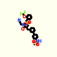 CS(=O)(=O)Nc1ccc(-c2cccc(CC(CS(=O)(=O)Cc3ccccc3OC(F)F)C(=O)NCC#N)c2)cc1